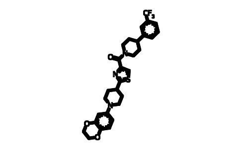 O=C(c1csc(C2CCN(c3ccc4c(c3)OCCO4)CC2)n1)N1CCC(c2cccc(C(F)(F)F)c2)CC1